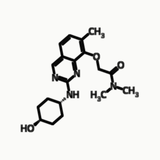 Cc1ccc2cnc(N[C@H]3CC[C@H](O)CC3)nc2c1OCC(=O)N(C)C